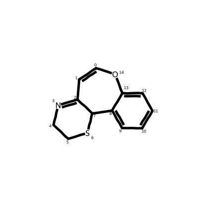 C1=CC2=NCCSC2c2ccccc2O1